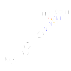 CC(NS(=O)(=O)N1CCN(c2ccc(CCc3ccc4cc(CCC(=O)O)ccc4c3)cc2)CC1)C(=O)O